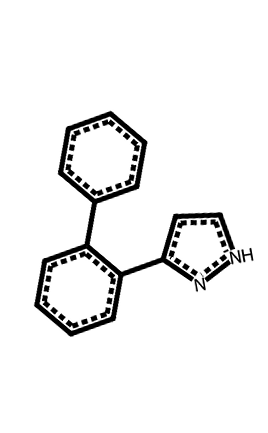 c1ccc(-c2ccccc2-c2cc[nH]n2)cc1